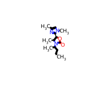 CCCC(C)N1C(=O)O[C@H](c2nc(C)cn2C)[C@@H]1C